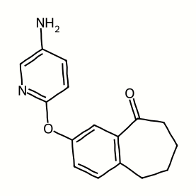 Nc1ccc(Oc2ccc3c(c2)C(=O)CCCC3)nc1